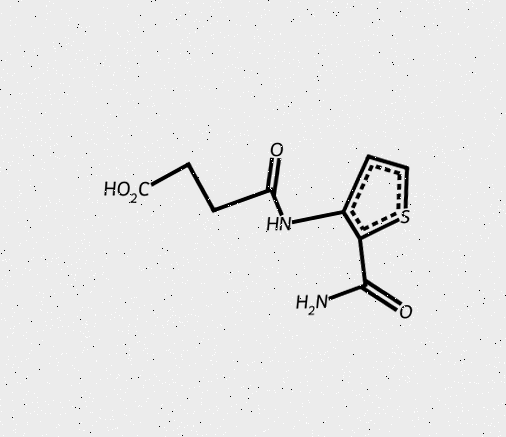 NC(=O)c1sccc1NC(=O)CCC(=O)O